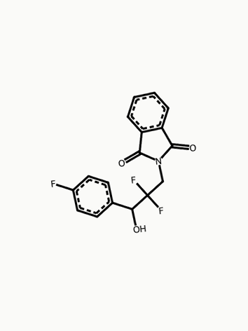 O=C1c2ccccc2C(=O)N1CC(F)(F)C(O)c1ccc(F)cc1